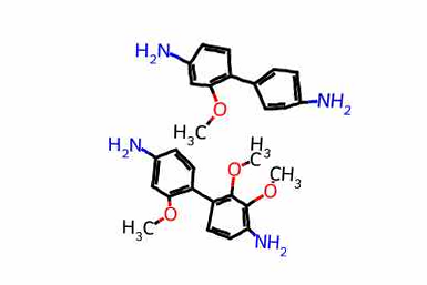 COc1cc(N)ccc1-c1ccc(N)c(OC)c1OC.COc1cc(N)ccc1-c1ccc(N)cc1